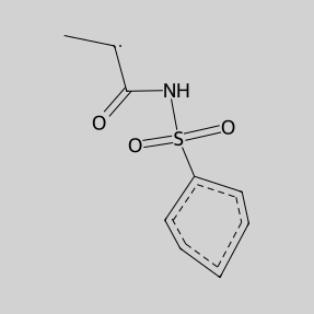 C[CH]C(=O)NS(=O)(=O)c1ccccc1